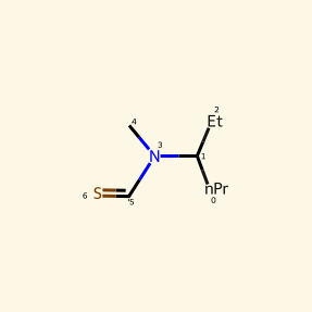 CCCC(CC)N(C)[C]=S